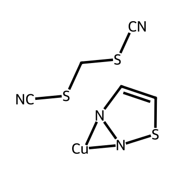 C1=C[N]2[Cu][N]2S1.N#CSCSC#N